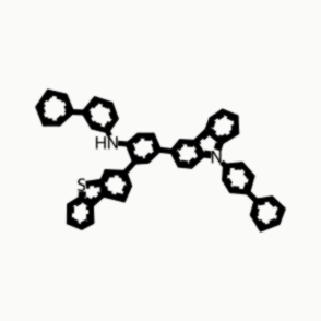 c1ccc(-c2ccc(-n3c4ccccc4c4cc(-c5ccc(Nc6cccc(-c7ccccc7)c6)c(-c6ccc7c(c6)sc6ccccc67)c5)ccc43)cc2)cc1